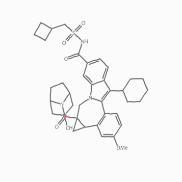 COc1ccc2c(c1)C1CC1(C(=O)N1C3CCC1CN(C)C3)Cn1c-2c(C2CCCCC2)c2ccc(C(=O)NS(=O)(=O)CC3CCC3)cc21